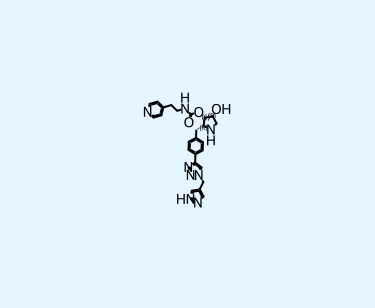 O=C(NCCc1ccncc1)O[C@@H]1[C@@H](O)CN[C@@H]1Cc1ccc(-c2cn(Cc3cn[nH]c3)nn2)cc1